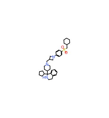 O=S(=O)(CC1CCCCC1)c1ccc(N2CC(CN3CCC(C4(C5CCCC5)NCCc5ccccc54)CC3)C2)cc1